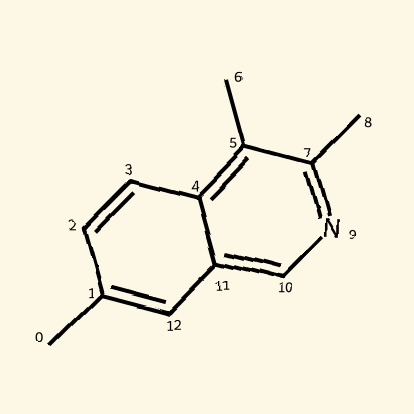 Cc1ccc2c(C)c(C)ncc2c1